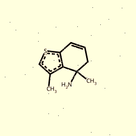 Cc1csc2c1C(C)(N)CC=C2